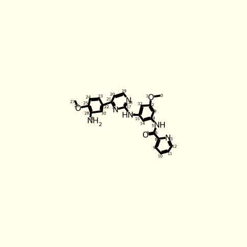 COc1cc(NC(=O)c2ccccn2)cc(Nc2nccc(-c3ccc(OC)c(N)c3)n2)c1